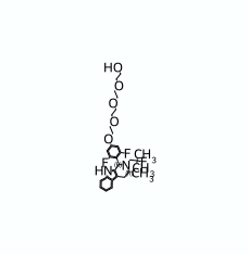 C[C@@H]1Cc2c([nH]c3ccccc23)[C@@H](c2c(F)cc(OCCOCCOCCOCCO)cc2F)N1CC(C)(C)F